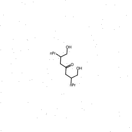 CCCC(CO)CC(=O)CC(CO)CCC